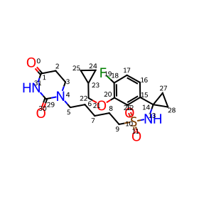 O=C1CCN(CCCCCS(=O)(=O)NC2(c3ccc(F)c(OCC4CC4)c3)CC2)C(=O)N1